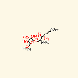 CCCCCCCCCCCCCC[C@@H](O)[C@@H](O)[C@H](COC1OC(COCCCCCCC)C(O)C(O)C1O)NC(C)=O